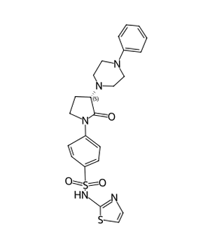 O=C1[C@@H](N2CCN(c3ccccc3)CC2)CCN1c1ccc(S(=O)(=O)Nc2nccs2)cc1